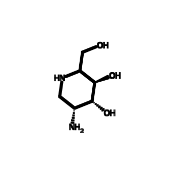 N[C@@H]1CNC(CO)[C@@H](O)[C@@H]1O